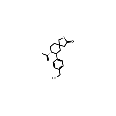 C=C(C)[C@@H]1CCC2(COC(=O)C2)C[C@H]1c1ccc(CO)cc1